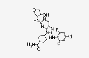 NC(=O)[C@H]1CC[C@@H](n2c(Nc3c(F)cc(Cl)cc3F)nc3cnc(N[C@@H]4COC[C@H]4O)nc32)CC1